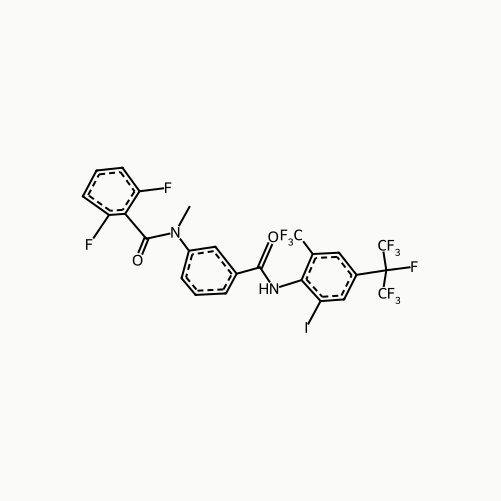 CN(C(=O)c1c(F)cccc1F)c1cccc(C(=O)Nc2c(I)cc(C(F)(C(F)(F)F)C(F)(F)F)cc2C(F)(F)F)c1